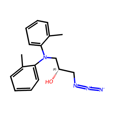 Cc1ccccc1N(C[C@@H](O)CN=[N+]=[N-])c1ccccc1C